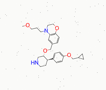 COCCCN1CCOc2ccc(CO[C@H]3CNCC[C@@H]3c3ccc(OCC4CC4)cc3)cc21